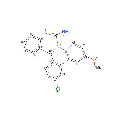 CCCCOc1ccc(N(C(=N)N)C(c2ccccc2)c2ccc(Cl)cc2)cc1